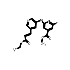 CCOC(=O)/C=C/c1cncc(Nc2cc(C(=O)OC)cc(Cl)n2)c1